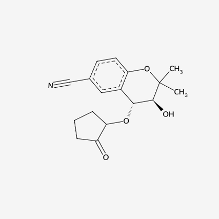 CC1(C)Oc2ccc(C#N)cc2[C@@H](OC2CCCC2=O)[C@@H]1O